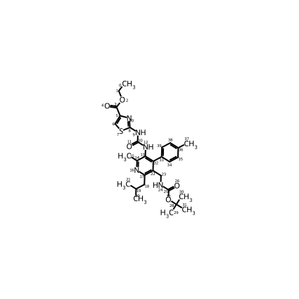 CCOC(=O)c1csc(NC(=O)Nc2c(C)nc(CC(C)C)c(CNC(=O)OC(C)(C)C)c2-c2ccc(C)cc2)n1